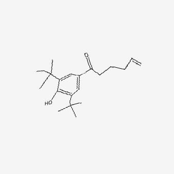 C=CCCCC(=O)c1cc(C(C)(C)C)c(O)c(C(C)(C)C)c1